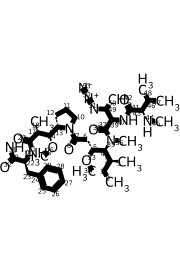 CC[C@H](C)[C@@H]([C@@H](CC(=O)N1CCC[C@H]1[C@H](OC)[C@@H](C)C(=O)N[C@@H](Cc1ccccc1)C(N)=O)OC)N(C)C(=O)C(NC(=O)[C@@H](NC)C(C)C)C(C)N=[N+]=[N-]